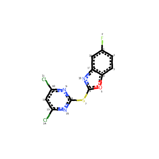 Fc1ccc2oc(Sc3nc(Cl)cc(Cl)n3)nc2c1